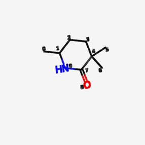 CC1CCC(C)(C)C(=O)N1